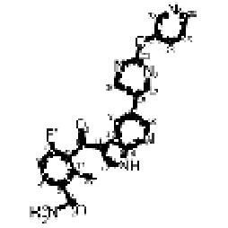 NC(=O)c1ccc(F)c(C(=O)c2c[nH]c3ncc(-c4cnc(Oc5cccnc5)nc4)cc23)c1F